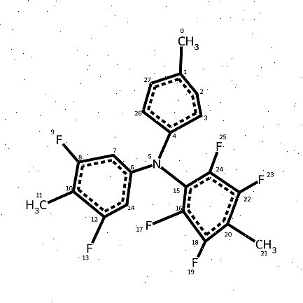 Cc1ccc(N(c2cc(F)c(C)c(F)c2)c2c(F)c(F)c(C)c(F)c2F)cc1